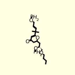 CCCCOC[C@@H](CC1CC(=O)C=C(C(C)(C)/C=C/COP)O1)OP